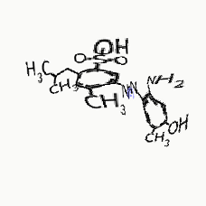 Cc1cc(/N=N/c2cc(S(=O)(=O)O)c(CC(C)C)cc2C)c(N)cc1O